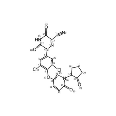 N#Cc1nn(-c2cc(Cl)c(Oc3ccc(=O)n(C4CCCC4=O)c3)c(Cl)c2)c(=O)[nH]c1=O